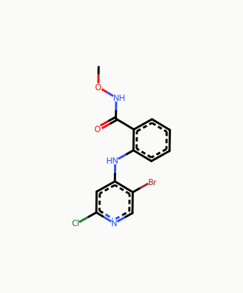 CONC(=O)c1ccccc1Nc1cc(Cl)ncc1Br